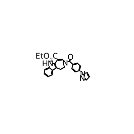 CCOC(=O)C1=CN(C(=O)c2ccc(-n3cccn3)cc2)CCc2c1[nH]c1ccccc21